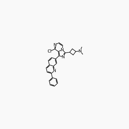 CN(C)C1CC(c2nc(-c3ccc4ccc(-c5ccccc5)nc4c3)c3c(Cl)nccn23)C1